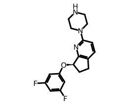 Fc1cc(F)cc(O[C@@H]2CCc3ccc(N4CCNCC4)nc32)c1